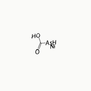 O=C(O)[AsH][Ni]